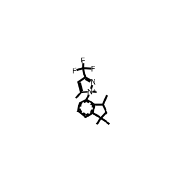 CC1=CC(C(F)(F)F)=N[N+]1(C)c1cccc2c1C(C)CC2(C)C